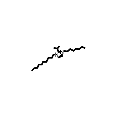 CCCCCCCCCCN1C=CN(CCCCCCCC)C1C(C)C